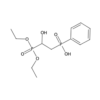 CCOP(=O)(OCC)C(O)CP(=O)(O)c1ccccc1